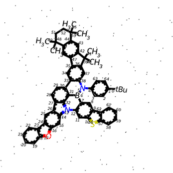 CC(C)(C)c1ccc(N2B3c4cc5c(cc4-n4c6cc7oc8ccccc8c7cc6c6ccc(c3c64)-c3cc4c(cc32)C(C)(C)c2cc3c(cc2-4)C(C)(C)CCC3(C)C)sc2ccccc25)cc1